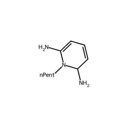 CCCCCN1C(N)=CC=CC1N